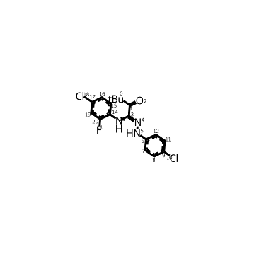 CC(C)(C)C(=O)/C(=N/Nc1ccc(Cl)cc1)Nc1ccc(Cl)cc1F